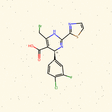 O=C(O)C1=C(CBr)NC(c2nccs2)=N[C@H]1c1ccc(Cl)c(F)c1